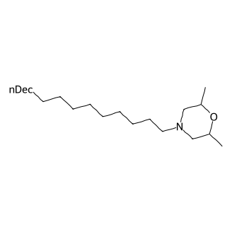 CCCCCCCCCCCCCCCCCCCN1CC(C)OC(C)C1